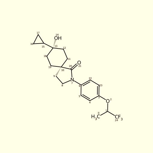 CC(Oc1ccc(N2CC[C@]3(CC[C@](O)(C4CC4)CC3)C2=O)cc1)C(F)(F)F